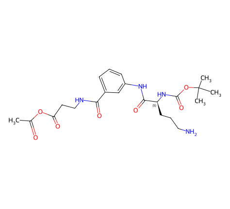 CC(=O)OC(=O)CCNC(=O)c1cccc(NC(=O)[C@H](CCCN)NC(=O)OC(C)(C)C)c1